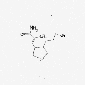 CC(=CC1CCCC1CCCC(C)C)C(N)=O